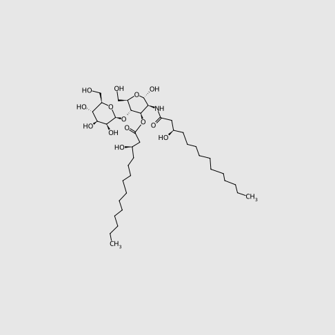 CCCCCCCCCCC[C@@H](O)CC(=O)N[C@H]1[C@@H](OC(=O)C[C@H](O)CCCCCCCCCCC)[C@H](O[C@@H]2O[C@H](CO)[C@@H](O)[C@H](O)[C@@H]2O)[C@@H](CO)O[C@@H]1O